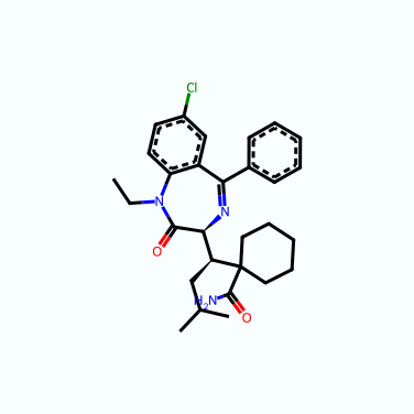 CCN1C(=O)[C@H]([C@H](CC(C)C)C2(C(N)=O)CCCCC2)N=C(c2ccccc2)c2cc(Cl)ccc21